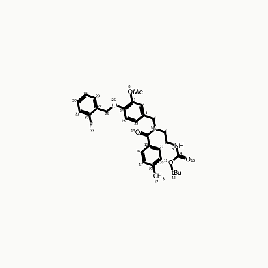 COc1cc(CN(CCNC(=O)OC(C)(C)C)C(=O)c2ccc(C)cc2)ccc1OCc1ccccc1F